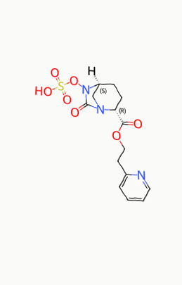 O=C(OCCc1ccccn1)[C@H]1CC[C@H]2CN1C(=O)N2OS(=O)(=O)O